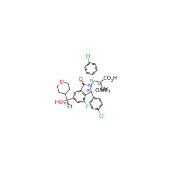 CC[C@](O)(c1cc(F)c2c(c1)C(=O)N([C@H](c1ccc(Cl)cc1)[C@H](C)C(=O)O)[C@@]2(OC)c1ccc(Cl)cc1)C1CCOCC1